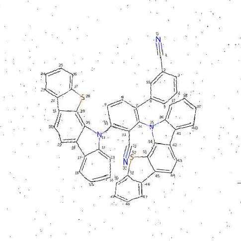 N#Cc1cccc(-c2ccc(-n3c4ccccc4c4ccc5c6ccccc6sc5c43)c(C#N)c2-n2c3ccccc3c3ccc4c5ccccc5sc4c32)c1